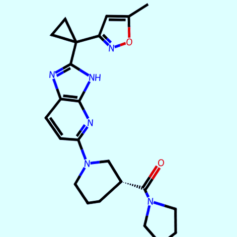 Cc1cc(C2(c3nc4ccc(N5CCC[C@@H](C(=O)N6CCCC6)C5)nc4[nH]3)CC2)no1